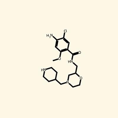 COc1cc(N)c(Cl)cc1C(=O)NCC1CN(CC2CCNCC2)CCO1